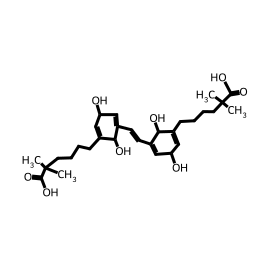 CC(C)(CCCCC1=CC(O)C=C(C=CC2=CC(O)C=C(CCCCC(C)(C)C(=O)O)C2O)C1O)C(=O)O